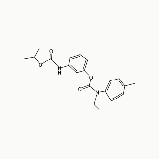 CCN(C(=O)Oc1cccc(NC(=O)OC(C)C)c1)c1ccc(C)cc1